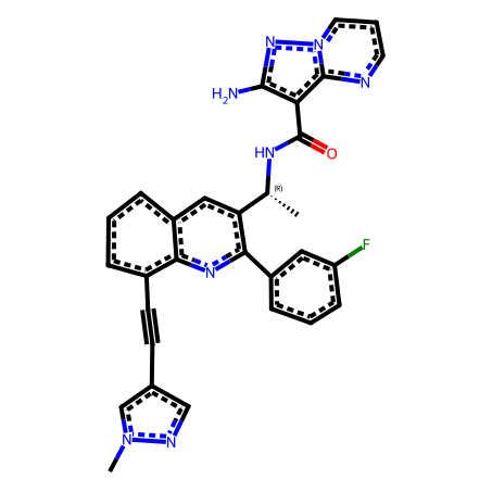 C[C@@H](NC(=O)c1c(N)nn2cccnc12)c1cc2cccc(C#Cc3cnn(C)c3)c2nc1-c1cccc(F)c1